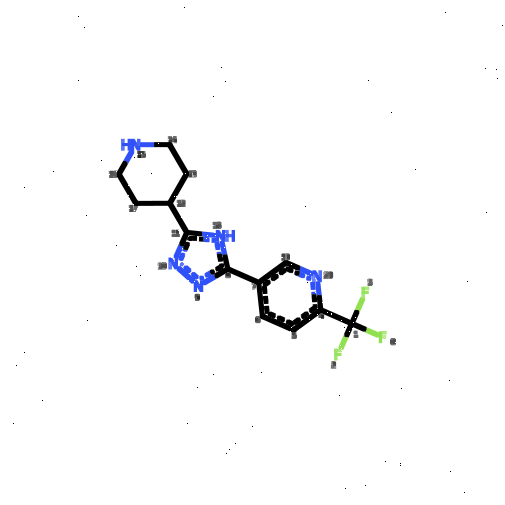 FC(F)(F)c1ccc(-c2nnc(C3CCNCC3)[nH]2)cn1